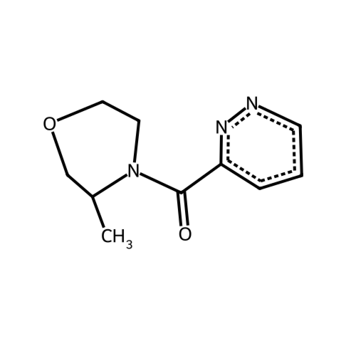 CC1COCCN1C(=O)c1cccnn1